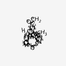 C=CC(=O)N1CCN(c2nc(=O)n3c4nc(c(F)cc24)-c2c(F)cccc2NC(=O)CSc2ncnc(C(C)C)c2-3)[C@@H](C)C1